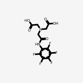 O=C(O)CN(CC(=O)O)CC(=O)Nc1c(F)c(F)c(F)c(F)c1F